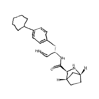 N=C[C@H](Cc1ccc(C2CCCCC2)cc1)NC(=O)[C@H]1N[C@@H]2CC[C@H]1C2